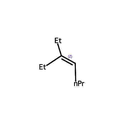 [CH2]C/C(=C/CCC)CC